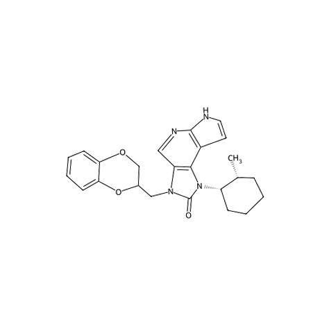 C[C@@H]1CCCC[C@@H]1n1c(=O)n(CC2COc3ccccc3O2)c2cnc3[nH]ccc3c21